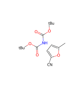 CC(C)(C)OC(=O)NC(=O)OC(C)(C)C.Cc1ccc(C#N)o1